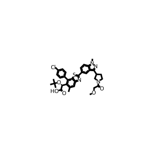 COCC(=O)N1CCC(c2nn(C)c3ccc(-c4nc5cc(C)c([C@H](OC(C)(C)C)C(=O)O)c(-c6ccc(Cl)cc6)c5s4)cc23)C1